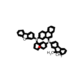 CC1(C)c2ccccc2-c2ccc(N(c3ccccc3)c3cc4ccccc4c4ccc(N(c5ccccc5)c5ccc6c(c5)oc5ccccc56)cc34)cc21